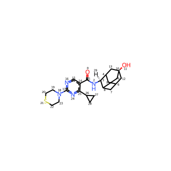 O=C(N[C@H]1C2CC3CC1C[C@@](O)(C3)C2)c1cnc(N2CCSCC2)nc1C1CC1